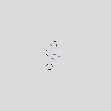 CCN(c1nc(-c2ccc(OC)cc2)c2ccc(=O)n(-c3ccc(C(F)(F)F)cc3)c2n1)C(O)O